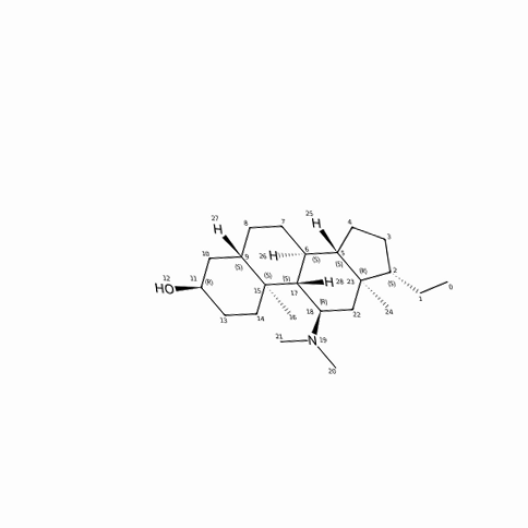 CC[C@H]1CC[C@H]2[C@@H]3CC[C@H]4C[C@H](O)CC[C@]4(C)[C@H]3[C@H](N(C)C)C[C@]12C